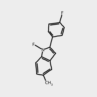 Cc1ccc2c(c1)cc(-c1ccc(F)cc1)n2F